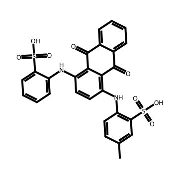 Cc1ccc(Nc2ccc(Nc3ccccc3S(=O)(=O)O)c3c2C(=O)c2ccccc2C3=O)c(S(=O)(=O)O)c1